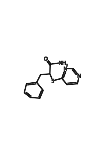 NC(=O)C(Cc1ccccc1)Sc1ccncn1